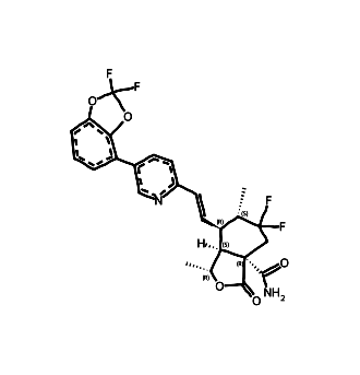 C[C@H]1OC(=O)[C@]2(C(N)=O)CC(F)(F)[C@@H](C)[C@H](C=Cc3ccc(-c4cccc5c4OC(F)(F)O5)cn3)[C@H]12